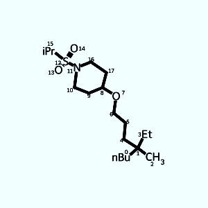 CCCCC(C)(CC)CCCOC1CCN(S(=O)(=O)C(C)C)CC1